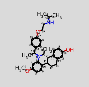 CCN(c1cc(OC)ccc1C1CCc2cc(O)ccc2C1)C(C)c1ccc(OCCNC(C)C)cc1